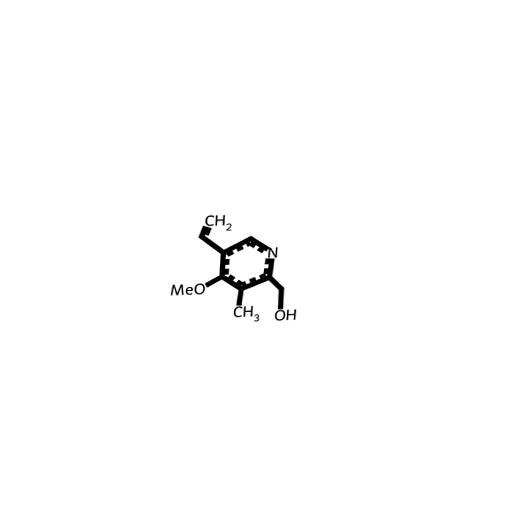 C=Cc1cnc(CO)c(C)c1OC